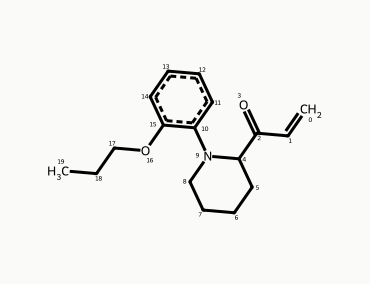 C=CC(=O)C1CCCCN1c1ccccc1OCCC